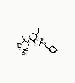 CC[C@H](C)[C@H](NC(=O)OCc1ccccc1)C(=O)N(C)[C@@H](C)C(=O)N1CC[C@H]1C(=O)O